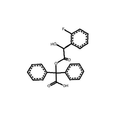 O=C(OC(C(=O)O)(c1ccccc1)c1ccccc1)C(O)c1ccccc1F